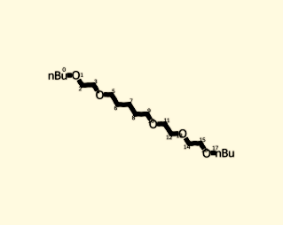 CCCCOCCOCCCCCOCCOCCOCCCC